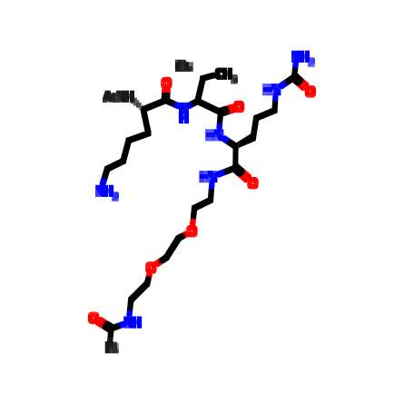 CCC(=O)NCCOCCOCCNC(=O)[C@H](CCCNC(N)=O)NC(=O)C(NC(=O)[C@H](CCCCN)NC(C)=O)C(C)[C@H](C)CC